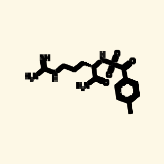 Cc1ccc(C(=O)S(=O)(=O)N[C@@H](CCCNC(=N)N)C(N)=O)cc1